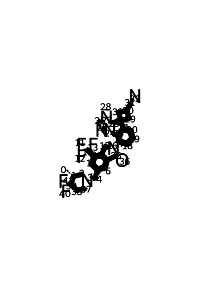 C[C@@H]1CN(Cc2cc3c(c(C(F)(F)F)c2)CN(c2cccc(C4(c5nncn5C)CC(C#N)C4)c2)C3=O)CCC1(F)F